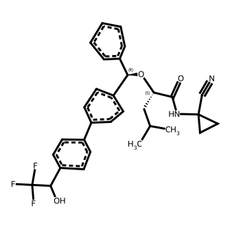 CC(C)C[C@H](O[C@H](c1ccccc1)c1ccc(-c2ccc(C(O)C(F)(F)F)cc2)cc1)C(=O)NC1(C#N)CC1